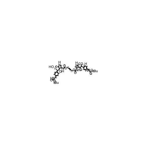 CC(C(=O)C1C(NC(=O)OCC#CCOC(=O)NC2CNC(C(=O)O)C2C(=O)C(C)c2ccc(CNC(=O)OC(C)(C)C)cc2)CNC1C(=O)O)c1ccc(CNC(=O)OC(C)(C)C)cc1